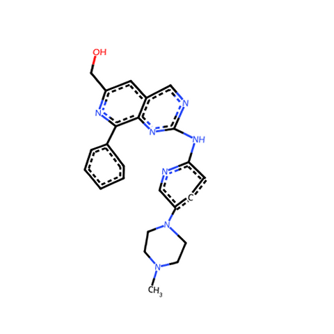 CN1CCN(c2ccc(Nc3ncc4cc(CO)nc(-c5ccccc5)c4n3)nc2)CC1